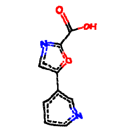 O=C(O)c1ncc(-c2cccnc2)o1